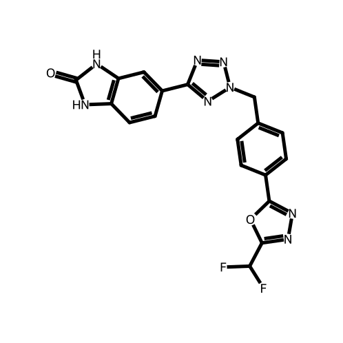 O=c1[nH]c2ccc(-c3nnn(Cc4ccc(-c5nnc(C(F)F)o5)cc4)n3)cc2[nH]1